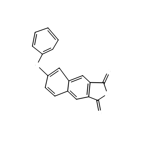 O=C1OC(=O)c2cc3cc(Oc4ccccc4)ccc3cc21